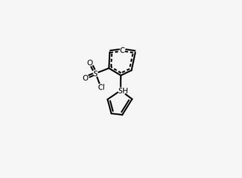 O=S(=O)(Cl)c1ccccc1[SH]1C=CC=C1